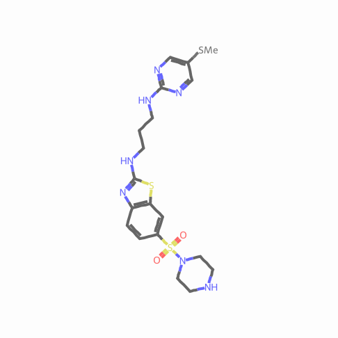 CSc1cnc(NCCCNc2nc3ccc(S(=O)(=O)N4CCNCC4)cc3s2)nc1